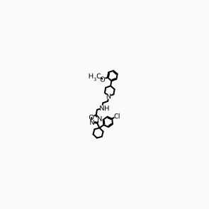 COc1ccccc1C1CCN(CCNCc2nc(C3(c4ccc(Cl)cc4)CCCCC3)no2)CC1